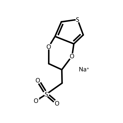 O=S(=O)([O-])CC1COc2cscc2O1.[Na+]